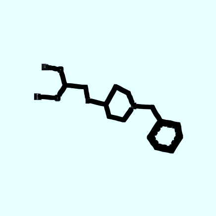 CCOC(CSC1CCN(Cc2ccccc2)CC1)OCC